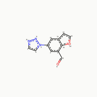 O=Cc1cc(-n2ccnn2)cc2ccoc12